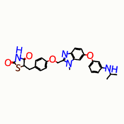 CC(C)Nc1cccc(Oc2ccc3nc(COc4ccc(CC5SC(=O)NC5=O)cc4)n(C)c3c2)c1